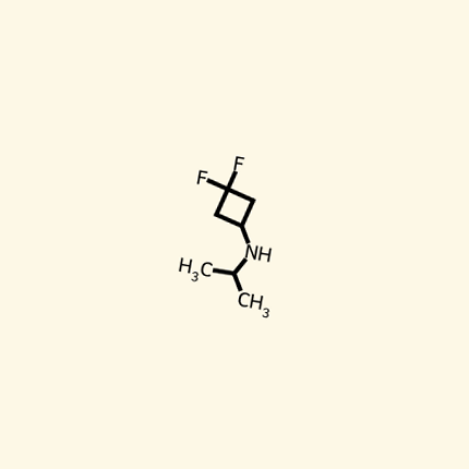 CC(C)NC1CC(F)(F)C1